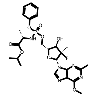 COC1=NC(C)=NC2C1N=CN2[C@@H]1O[C@H](COP(=O)(N[C@@H](C)C(=O)OC(C)C)Oc2ccccc2)[C@@H](O)[C@@]1(C)F